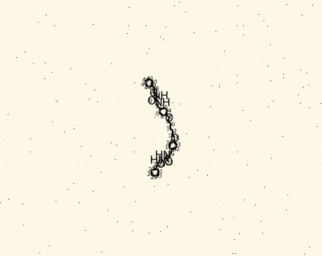 O=C(NCc1ccc(OCCCCCOc2ccc(CNC(=O)NOCc3ccccc3)cc2)cc1)NOCc1ccccc1